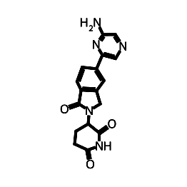 Nc1cncc(-c2ccc3c(c2)CN(C2CCC(=O)NC2=O)C3=O)n1